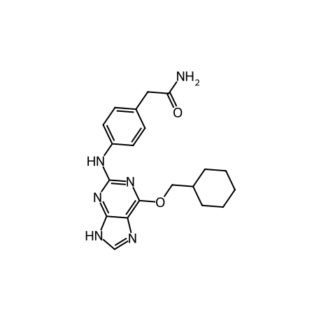 NC(=O)Cc1ccc(Nc2nc(OCC3CCCCC3)c3nc[nH]c3n2)cc1